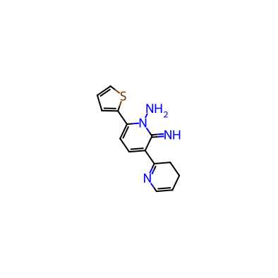 N=c1c(C2=NC=CCC2)ccc(-c2cccs2)n1N